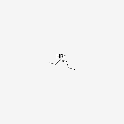 Br.CC/C=C\CC